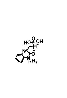 Nn1c(=O)c(CC(F)(F)P(=O)(O)O)nc2ccccc21